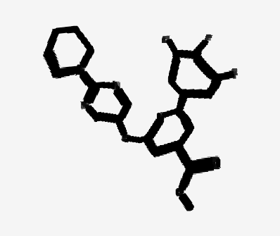 COC(=O)c1cc(Oc2cnc(N3CCCCC3)nc2)nc(-c2cc(F)c(F)c(Cl)c2)c1